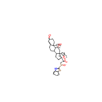 CC12CCC(=O)C=C1CCC1C2[C@@H](O)CC2(C)C1CC[C@]2(O)C(=O)C[S+]([O-])c1nc2ccccc2s1